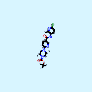 Cc1nc(Br)ccc1NC(=O)c1ccc(N2C[C@H](C)N(C(=O)OC(C)(C)C)C[C@H]2C)nc1